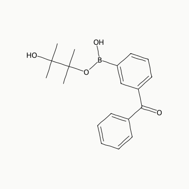 CC(C)(O)C(C)(C)OB(O)c1cccc(C(=O)c2ccccc2)c1